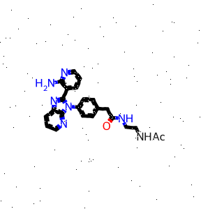 CC(=O)NCCNC(=O)Cc1ccc(-n2c(-c3cccnc3N)nc3cccnc32)cc1